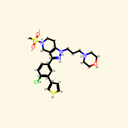 CS(=O)(=O)N1CCc2c(c(-c3ccc(Cl)c(-c4ccsc4)c3)nn2CCCN2CCOCC2)C1